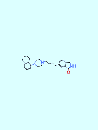 O=C1NCc2ccc(CCCCN3CCN(c4cccc5c4CCCC5)CC3)cc21